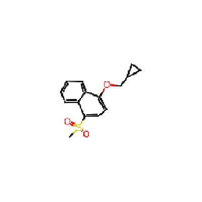 CS(=O)(=O)c1ccc(OCC2CC2)c2ccccc12